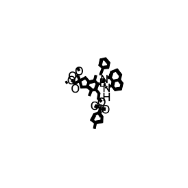 COC(=O)C1(C(=O)OC)Cc2c(C)c(CCOS(=O)(=O)c3ccc(C)cc3)c(B3Nc4cccc5cccc(c45)N3Cc3ccccc3)c(C)c2C1